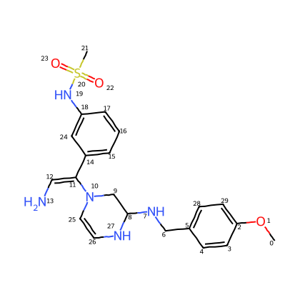 COc1ccc(CNC2CN(/C(=C\N)c3cccc(NS(C)(=O)=O)c3)C=CN2)cc1